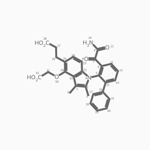 Cc1c(C)n(-c2c(C(=O)C(N)=O)cccc2-c2ccccc2)c2ccc(CCC(=O)O)c(OCC(=O)O)c12